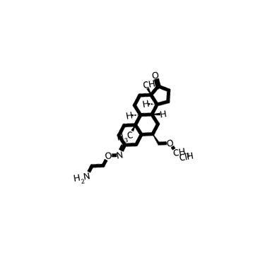 COC[C@@H]1C[C@@H]2[C@H](CC[C@]3(C)C(=O)CC[C@@H]23)[C@@]2(C)CCC(=NOCCN)CC12.Cl